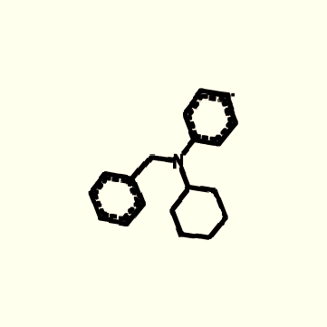 [c]1ccc(N(Cc2ccccc2)C2CCCCC2)cc1